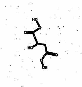 O=C(CC(O)C(=O)OO)OO